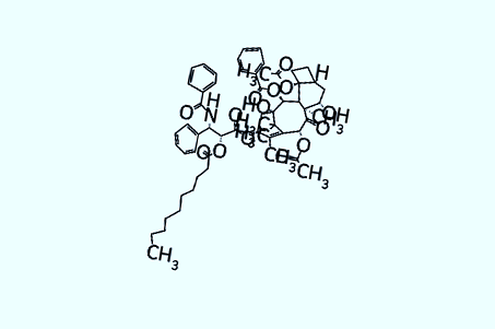 CCCCCCCCCC(=O)O[C@@H](C(=O)O[C@H]1C[C@@]2(O)[C@@H](OC(=O)c3ccccc3)C3[C@](C)(C(=O)[C@H](OC(C)=O)C(=C1C)C2(C)C)[C@@H](O)C[C@H]1CC[C@@]31OC(C)=O)[C@@H](NC(=O)c1ccccc1)c1ccccc1